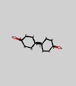 O=C1CCC(=C2CCC(=O)CC2)CC1